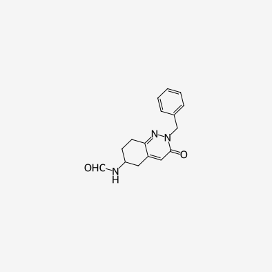 O=CNC1CCc2nn(Cc3ccccc3)c(=O)cc2C1